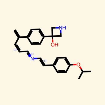 C=C(\C=C/C=N/C=C/c1ccc(OC(C)C)cc1)c1ccc(C2(O)CNC2)cc1